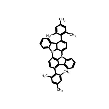 Cc1cc(C)c(C2=CC=C3C4C2c2ccccc2N4c2ccc(-c4c(C)cc(C)cc4C)c4c5ccccc5n3c24)c(C)c1